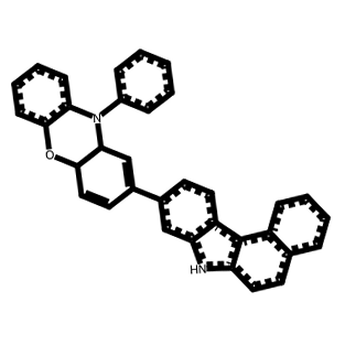 C1=CC2Oc3ccccc3N(c3ccccc3)C2C=C1c1ccc2c(c1)[nH]c1ccc3ccccc3c12